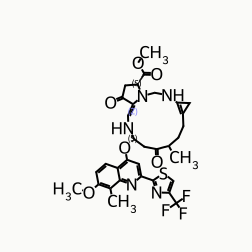 COC(=O)[C@@H]1CC(=O)/C2=C/N[C@@H](Oc3cc(-c4nc(C(F)(F)F)cs4)nc4c(C)c(OC)ccc34)CC(=O)C(C)CCC3=C(C3)NCN21